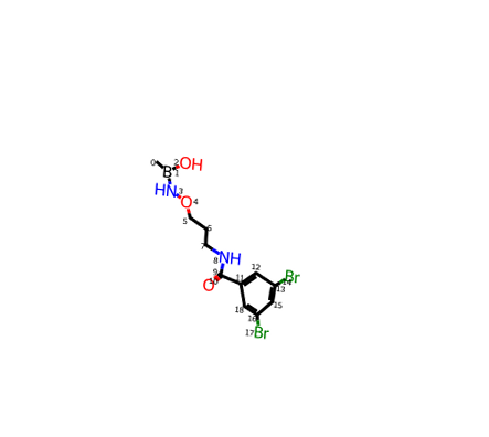 CB(O)NOCCCNC(=O)c1cc(Br)cc(Br)c1